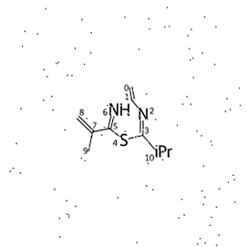 C=CN=C(SC(=N)C(=C)C)C(C)C